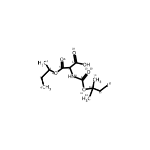 CCC(C)OC(=O)C(NC(=O)OC(C)(C)CI)C(=O)O